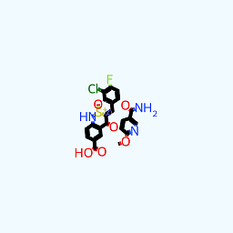 COc1ccc(C(N)=O)cn1.O=C(O)c1ccc2c(c1)C(=O)/C(=C/c1ccc(F)c(Cl)c1)[S+]([O-])N2